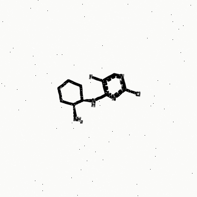 N[C@H]1CCCC[C@H]1Nc1nc(Cl)ncc1F